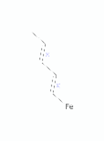 C/C=C/C=[CH]/[Fe]